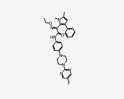 CCON=C(C(=O)Nc1ccc(N2CCN(c3ncc(F)cn3)CC2)cc1)c1c(-c2ccccc2)cc(C)n1C